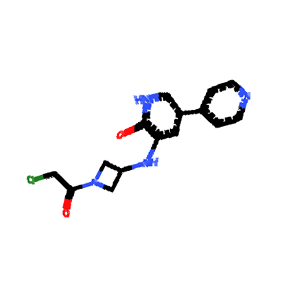 O=C(CCl)N1CC(Nc2cc(-c3ccncc3)c[nH]c2=O)C1